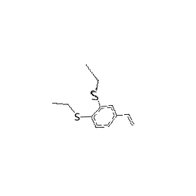 C=Cc1ccc(SCC)c(SCC)c1